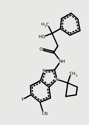 CC(O)(CC(=O)Nc1nc2cc(F)c(C#N)cc2n1C1(C)CCC1)c1ccccc1